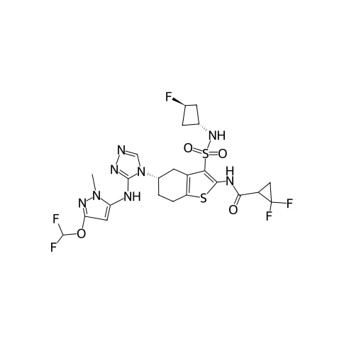 Cn1nc(OC(F)F)cc1Nc1nncn1[C@H]1CCc2sc(NC(=O)C3CC3(F)F)c(S(=O)(=O)N[C@H]3C[C@H](F)C3)c2C1